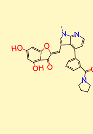 Cn1cc(C=C2Oc3cc(O)cc(O)c3C2=O)c2c(-c3cccc(C(=O)N4CCCC4)c3)ccnc21